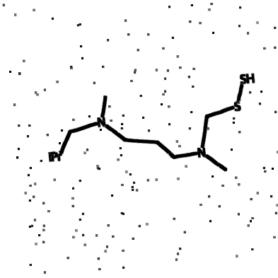 CC(C)CN(C)CCCN(C)CSS